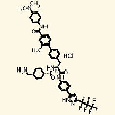 Cc1cc(C(=O)NC2CCC(N(C)C)CC2)ccc1-c1ccc(C[C@H](NC(=O)[C@H]2CC[C@H](CN)CC2)C(=O)Nc2ccc(-c3nc(C(F)(F)C(F)(F)C(F)(F)F)n[nH]3)cc2)cc1.Cl